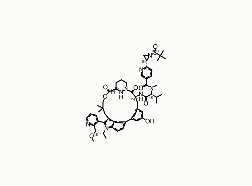 CCn1c(-c2cccnc2[C@H](C)OC)c2c3cc(ccc31)-c1cc(O)cc(c1)C[C@H](NC(=O)[C@H](C(C)C)N(C)C(=O)c1ccc([C@@H]3CN3[S@@+]([O-])C(C)(C)C)nc1)C(=O)N1CCC[C@H](N1)C(=O)OCC(C)(C)C2